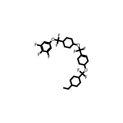 CCC1CCC(C(F)(F)OC2CC=C(C(F)(F)OC3CCC(C(F)(F)Oc4cc(F)c(F)c(F)c4)CC3)CC2)CC1